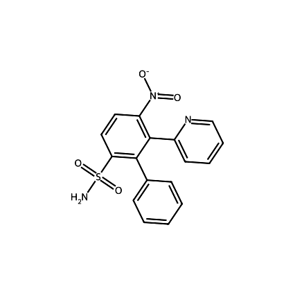 NS(=O)(=O)c1ccc([N+](=O)[O-])c(-c2ccccn2)c1-c1ccccc1